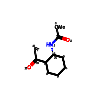 COC(=O)N[C@@H]1CCCCC1C(=O)C(C)C